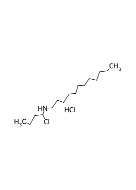 CCCCCCCCCCCCNC(Cl)CCC.Cl